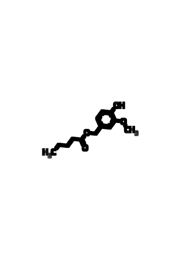 CCCCC(=O)OCc1ccc(O)c(OC)c1